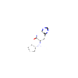 CN(C1CCCC1)C(Cc1c[nH]cn1)C(N)=O